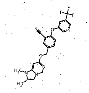 C[C@@H]1CN2CN=C(OCc3ccc(Oc4cncc(C(F)(F)F)c4)c(C#N)c3)C=C2N1C